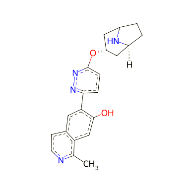 Cc1nccc2cc(-c3ccc(O[C@@H]4CC5CC[C@@H](C4)N5)nn3)c(O)cc12